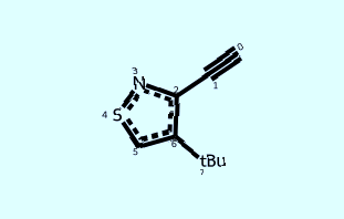 C#Cc1nscc1C(C)(C)C